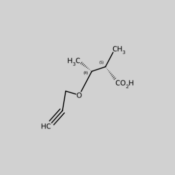 C#CCO[C@H](C)[C@H](C)C(=O)O